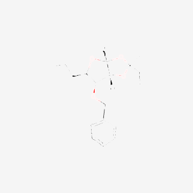 CCC[C@H]1O[C@@H]2OC(C)(CC)O[C@@H]2[C@H]1OCc1ccccc1